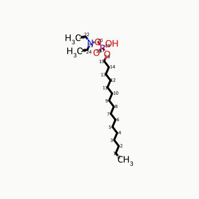 CCCCCCCCCCCCCCCCOP(=O)(O)ON(CC)CC